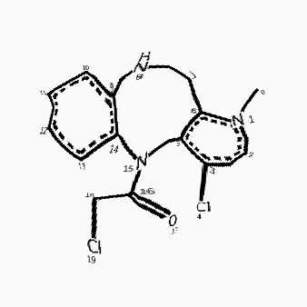 Cn1cc(Cl)c2c1CNc1ccccc1N2C(=O)CCl